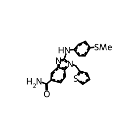 CSc1ccc(Nc2nc3cc(C(N)=O)ccc3n2Cc2cccs2)cc1